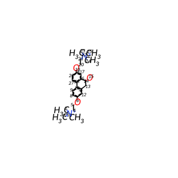 C[N+](C)(C)CCOc1ccc2c(c1)CC(=O)c1cc(OCC[N+](C)(C)C)ccc1-2